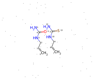 C=CCNC(N)=O.C=CCNC(N)=S